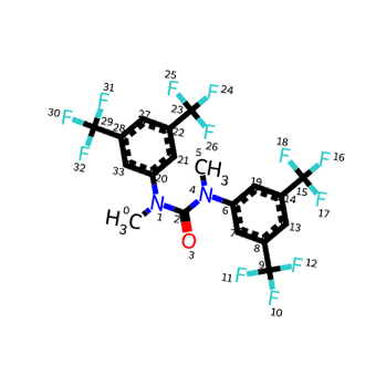 CN(C(=O)N(C)c1cc(C(F)(F)F)cc(C(F)(F)F)c1)c1cc(C(F)(F)F)cc(C(F)(F)F)c1